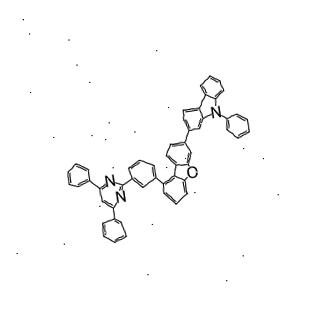 c1ccc(-c2cc(-c3ccccc3)nc(-c3cccc(-c4cccc5oc6cc(-c7ccc8c9ccccc9n(-c9ccccc9)c8c7)ccc6c45)c3)n2)cc1